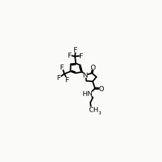 CCCNC(=O)C1CC(=O)N(c2cc(C(F)(F)F)cc(C(F)(F)F)c2)C1